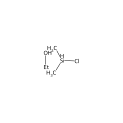 CCO.C[SiH](C)Cl